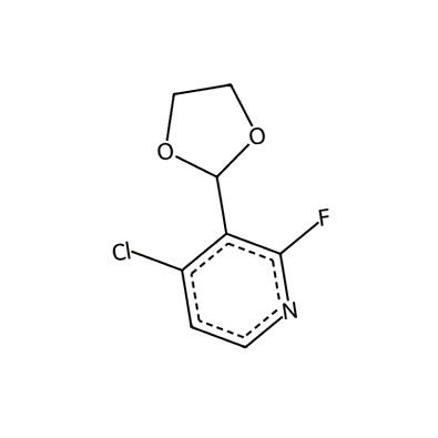 Fc1nccc(Cl)c1C1OCCO1